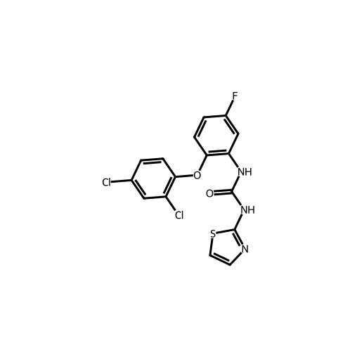 O=C(Nc1nccs1)Nc1cc(F)ccc1Oc1ccc(Cl)cc1Cl